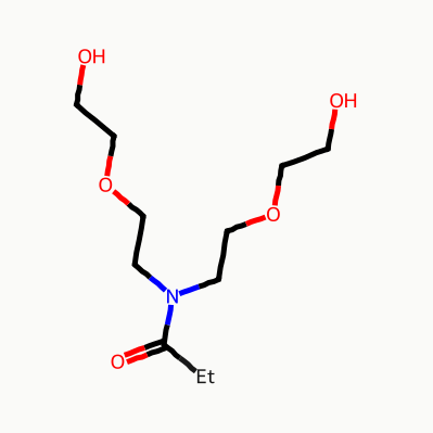 CCC(=O)N(CCOCCO)CCOCCO